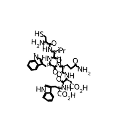 CC(C)[C@H](NC(=O)[C@@H](N)CS)C(=O)N[C@@H](Cc1cn(C)c2ccccc12)C(=O)N[C@@H](CCC(N)=O)C(=O)N[C@@H](CC(=O)O)C(=O)N[C@@H](Cc1c[nH]c2ccccc12)C(=O)O